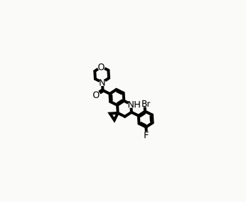 O=C(c1ccc2c(c1)C1(CC1)CC(c1cc(F)ccc1Br)N2)N1CCOCC1